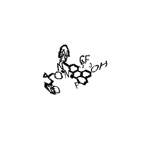 C#Cc1c(F)ccc2cc(O)cc(-c3c(SC(F)(F)F)cc4c(N5CC6CCC(C5)N6)nc(OCC5(CN6CC7CCC6CO7)CC5)nc4c3F)c12